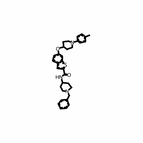 Cc1ccc(N2CCC(Oc3ccc4cc(C(=O)NC5CCN(Cc6ccccc6)CC5)sc4c3)CC2)cc1